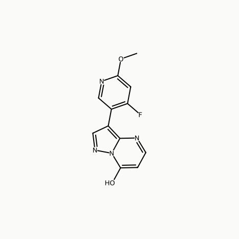 COc1cc(F)c(-c2cnn3c(O)ccnc23)cn1